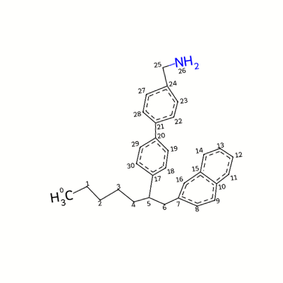 CCCCCC(Cc1ccc2ccccc2c1)c1ccc(-c2ccc(CN)cc2)cc1